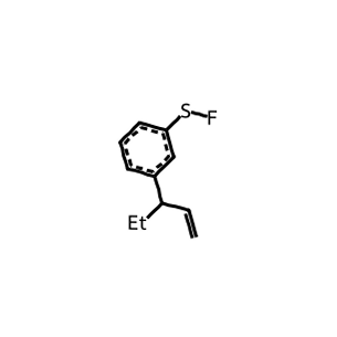 C=CC(CC)c1cccc(SF)c1